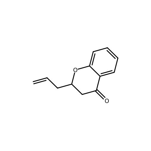 C=CCC1CC(=O)c2ccccc2O1